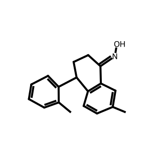 Cc1ccc2c(c1)/C(=N/O)CCC2c1ccccc1C